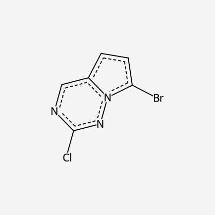 Clc1ncc2ccc(Br)n2n1